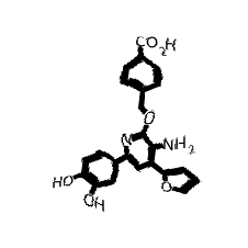 Nc1c(-c2ccco2)cc(-c2ccc(O)c(O)c2)nc1OCc1ccc(C(=O)O)cc1